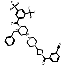 N#Cc1cccc(C(=O)N2CC(N3CCN([C@H]4CCN(C(=O)c5cc(C(F)(F)F)cc(C(F)(F)F)c5)[C@H](Cc5ccccc5)C4)CC3)C2)c1